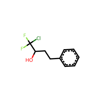 OC(CCc1ccccc1)C(F)(F)Cl